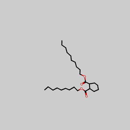 CCCCCCCCCCOC(=O)C1CCCCC1C(=O)OCCCCCCCCC